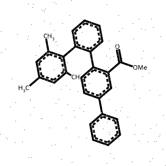 COC(=O)c1cc(-c2ccccc2)ccc1-c1ccccc1-c1c(C)cc(C)cc1C